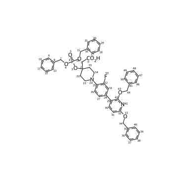 O=C(O)CC1(OP(=O)(OCc2ccccc2)OCc2ccccc2)CCN(c2ccc(-c3ccc(OCc4ccccc4)nc3OCc3ccccc3)cc2F)CC1